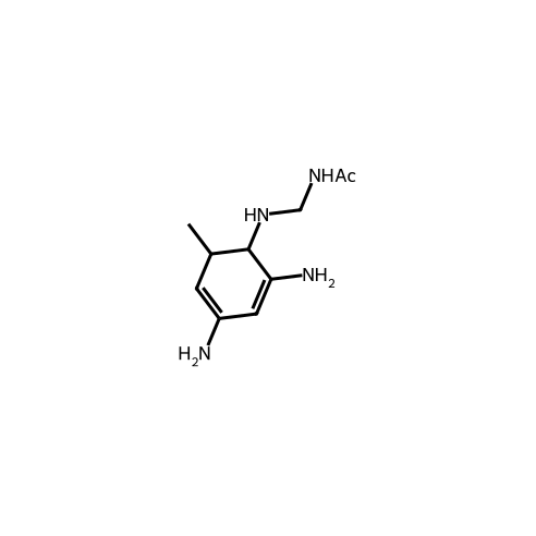 CC(=O)NCNC1C(N)=CC(N)=CC1C